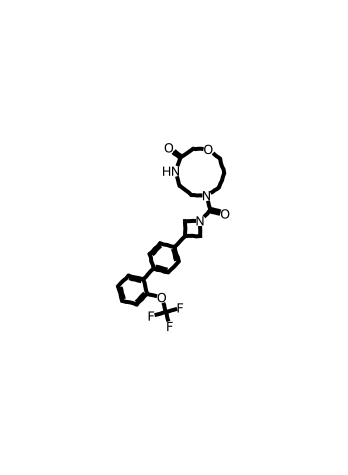 O=C1COCCCN(C(=O)N2CC(c3ccc(-c4ccccc4OC(F)(F)F)cc3)C2)CCN1